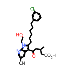 CC(CC(=O)O)CC(=O)c1c(CCCCCCc2cccc(Cl)c2)n(CCO)c2ncc(C#N)cc12